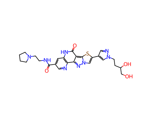 O=C(NCCN1CCCC1)c1cnc2c(c1)[nH]c(=O)c1c2nn2cc(-c3cnn(CCC(O)CO)c3)sc12